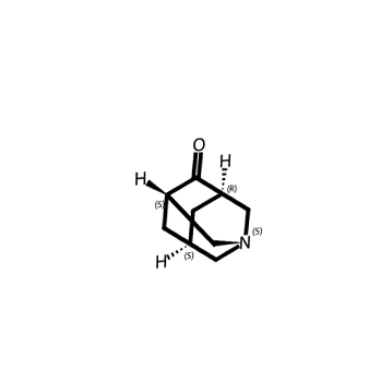 O=C1[C@@H]2C[C@@H]3C[C@H]1C[N@@](C3)C2